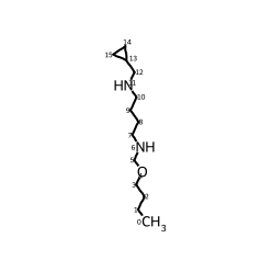 CCCCOCNCCCCNCC1CC1